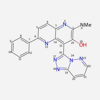 CNc1nc2ccc(-c3ccccc3)nc2c(-c2nnc3cccnn23)c1O